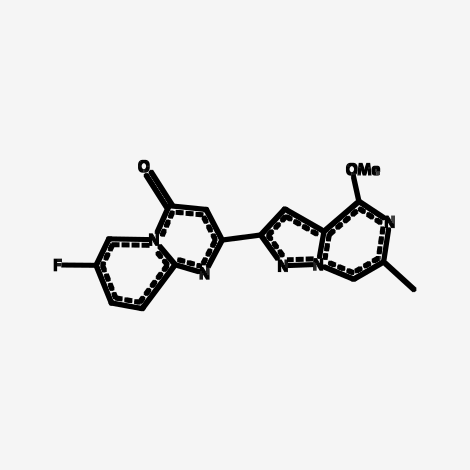 COc1nc(C)cn2nc(-c3cc(=O)n4cc(F)ccc4n3)cc12